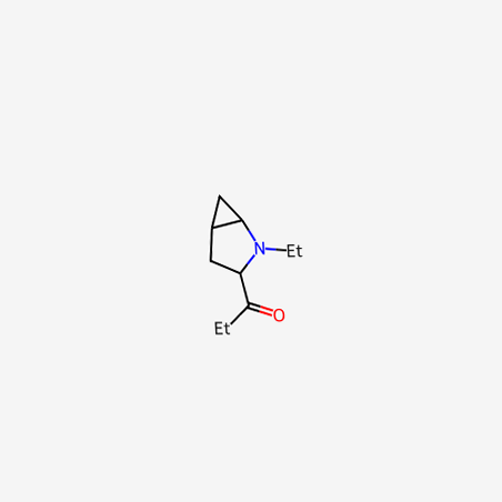 CCC(=O)C1CC2CC2N1CC